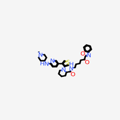 CN1CCC(Nc2ccc(-c3cscc3N3CCCCC3C(=O)NCCCCC(=O)c3nc4ccccc4o3)cn2)CC1